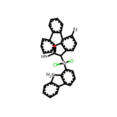 CCCC1=Cc2c(ccc(CC)c2-c2ccccc2-c2ccccc2)[CH]1[Zr]([Cl])([Cl])[c]1cccc2c1[SiH2]c1ccccc1-2